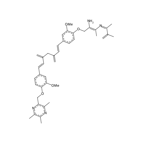 C=C(/C=C/c1ccc(OC/C(N)=C(C)/N=C(/C)C(=C)C)c(OC)c1)CC(=C)/C=C/c1ccc(OCc2nc(C)c(C)nc2C)c(OC)c1